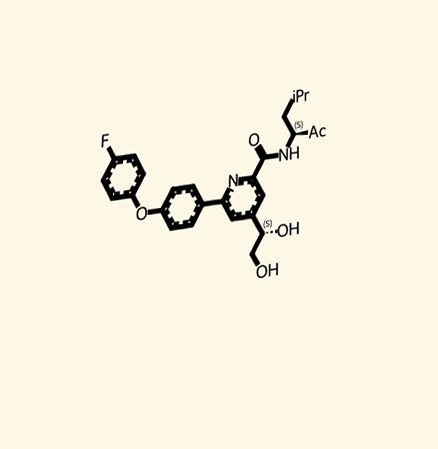 CC(=O)[C@H](CC(C)C)NC(=O)c1cc([C@H](O)CO)cc(-c2ccc(Oc3ccc(F)cc3)cc2)n1